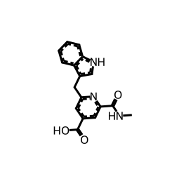 CNC(=O)c1cc(C(=O)O)cc(Cc2c[nH]c3ccccc23)n1